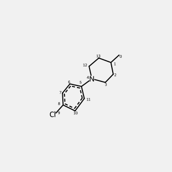 CC1CCN(c2ccc(Cl)cc2)CC1